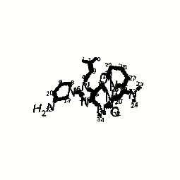 CC(C)=CCn1c(N2CCCC(N)C2)nc2c1C(=O)[N+](CCN(C)C)(N1CCCCC1)C(=O)N2C